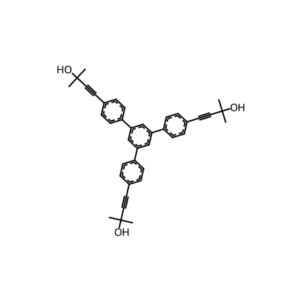 CC(C)(O)C#Cc1ccc(-c2cc(-c3ccc(C#CC(C)(C)O)cc3)cc(-c3ccc(C#CC(C)(C)O)cc3)c2)cc1